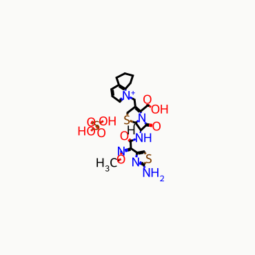 CO/N=C(/C(=O)N[C@@H]1C(=O)N2C(C(=O)O)=C(C[n+]3cccc4c3CCCC4)CS[C@H]12)c1csc(N)n1.O=S(=O)(O)O